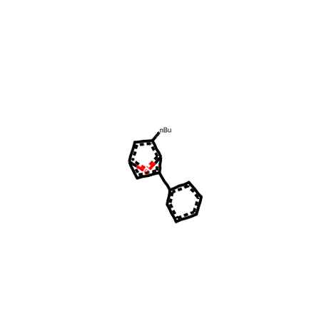 CCCCc1cc2cc(-c3ccccc3)c1o2